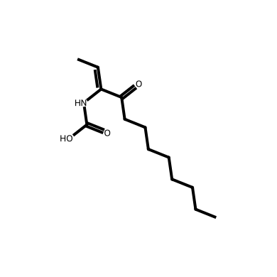 CC=C(NC(=O)O)C(=O)CCCCCCCC